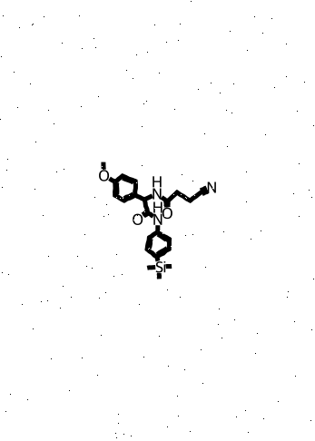 COc1ccc(C(NC(=O)CCC#N)C(=O)Nc2ccc([Si](C)(C)C)cc2)cc1